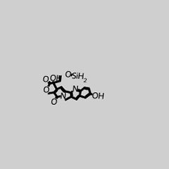 CCC1(O)C(=O)OCc2c1cc1n(c2=O)Cc2cc3cc(O)ccc3nc2-1.O=[SiH2]